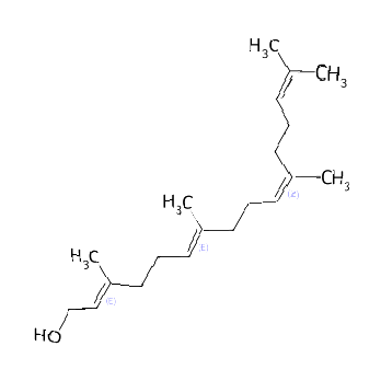 CC(C)=CCC/C(C)=C\CC/C(C)=C/CC/C(C)=C/CO